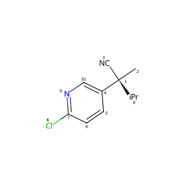 CC(C)[C@](C)(C#N)c1ccc(Cl)nc1